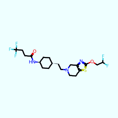 O=C(CCC(F)(F)F)N[C@H]1CC[C@H](CCN2CCc3sc(OCC(F)F)nc3C2)CC1